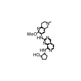 COc1nc2c(cc1Nc1ncc3ccnc(N[C@@H]4CCC[C@@H]4O)c3n1)CN(C)CC2